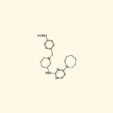 CC(=O)Nc1ccc(CN2CCCC(Nc3nccc(N4CCCCCC4)n3)C2)cc1